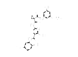 COc1cc(NC(=O)C2(C(=O)Nc3nc(C)c(C(=O)Nc4cc(C(F)(F)F)ccc4Cl)s3)CC2)cc(C(F)(F)F)c1